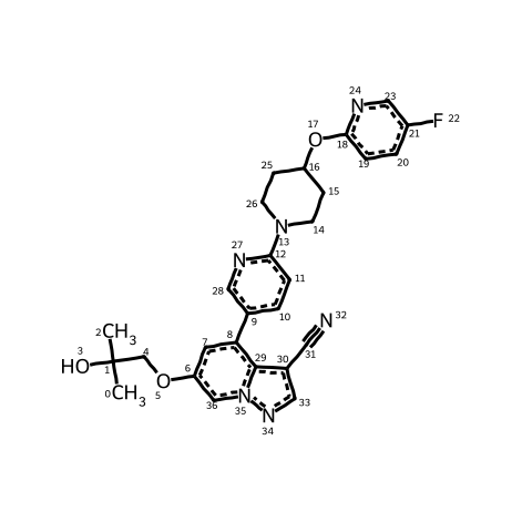 CC(C)(O)COc1cc(-c2ccc(N3CCC(Oc4ccc(F)cn4)CC3)nc2)c2c(C#N)cnn2c1